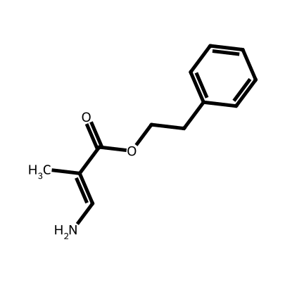 CC(=CN)C(=O)OCCc1ccccc1